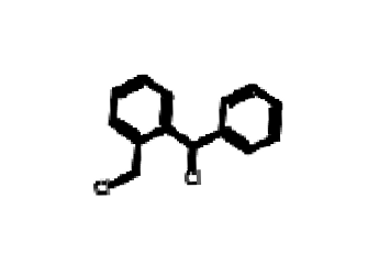 ClCc1ccccc1[C](Cl)c1ccccc1